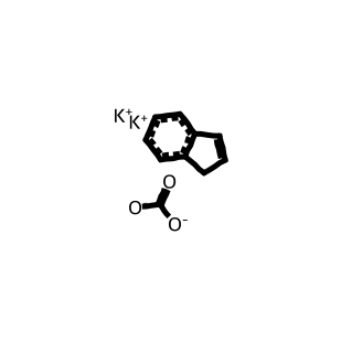 C1=Cc2ccccc2C1.O=C([O-])[O-].[K+].[K+]